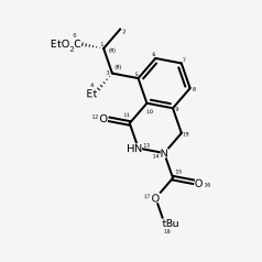 CCOC(=O)[C@H](C)[C@@H](CC)c1cccc2c1C(=O)NN(C(=O)OC(C)(C)C)C2